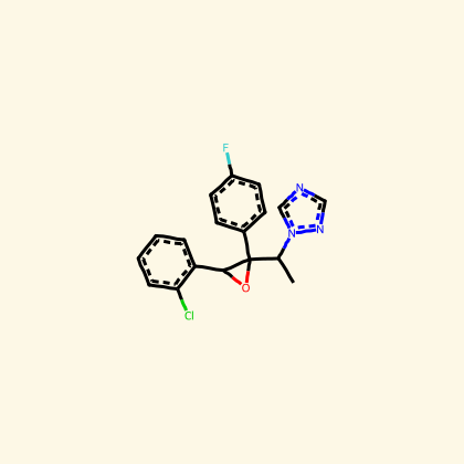 CC(n1cncn1)C1(c2ccc(F)cc2)OC1c1ccccc1Cl